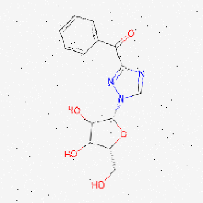 O=C(c1ccccc1)c1ncn([C@@H]2O[C@H](CO)C(O)C2O)n1